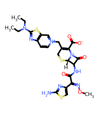 CCN(CC)c1nc2cc[n+](CC3=C(C(=O)[O-])N4C(=O)C(NC(=O)C(=NOC)c5csc(N)n5)[C@@H]4SC3)cc2s1